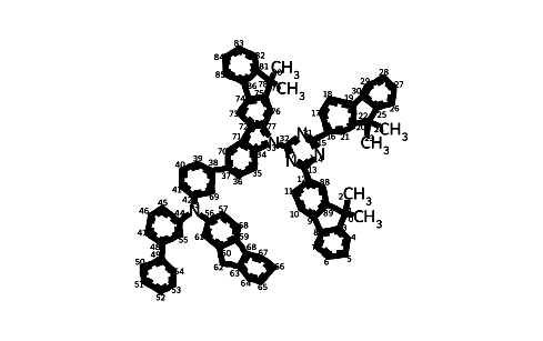 CC1(C)c2ccccc2-c2ccc(-c3nc(-c4ccc5c(c4)C(C)(C)c4ccccc4-5)nc(-n4c5ccc(-c6cccc(N(c7cccc(-c8ccccc8)c7)c7ccc8c(c7)Cc7ccccc7-8)c6)cc5c5cc6c(cc54)C(C)(C)c4ccccc4-6)n3)cc21